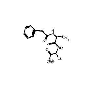 CC[C@H](NC(=O)[C@H](C)NC(=O)Cc1ccccc1)C(=O)OC